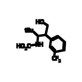 CC(C)(C)C(NC(=O)O)C(CO)c1cccc(C(F)(F)F)c1